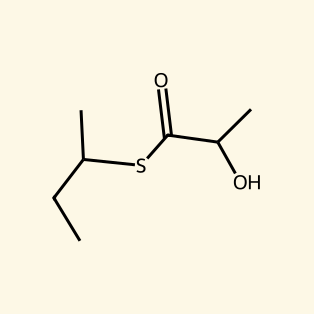 CCC(C)SC(=O)C(C)O